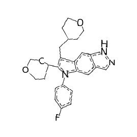 Fc1ccc(-n2c(C3CCOCC3)c(CC3CCOCC3)c3cc4[nH]ncc4cc32)cc1